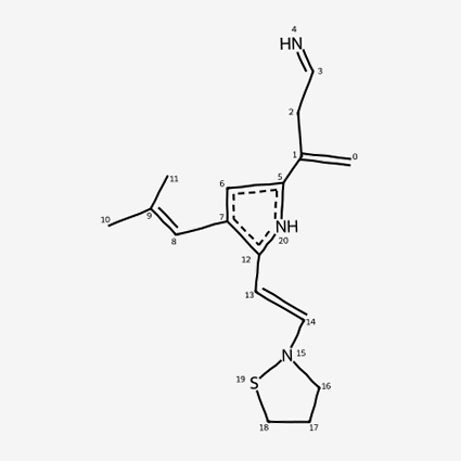 C=C(CC=N)c1cc(C=C(C)C)c(/C=C/N2CCCS2)[nH]1